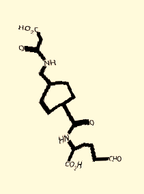 O=CCCC(NC(=O)C1CCC(CNC(=O)CC(=O)O)CC1)C(=O)O